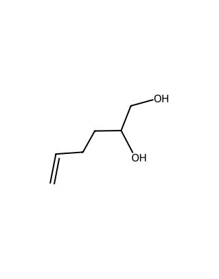 C=CCCC(O)CO